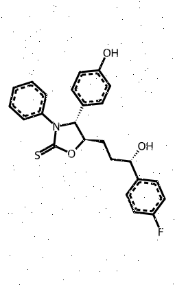 Oc1ccc([C@@H]2[C@@H](CC[C@H](O)c3ccc(F)cc3)OC(=S)N2c2ccccc2)cc1